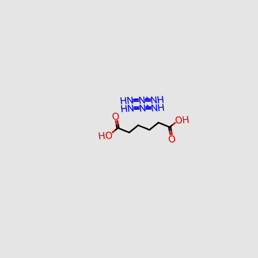 N=[N+]=N.N=[N+]=N.O=C(O)CCCCC(=O)O